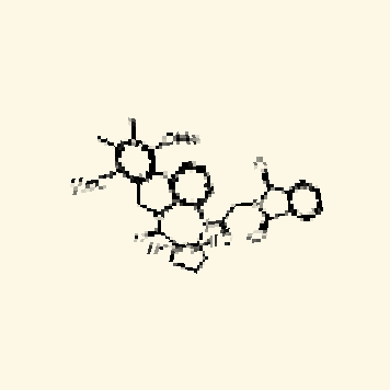 COc1c(C)c(C)c(OC)c(CN2C(=O)[C@@H]3CCC[C@H]3N(C(=O)CN3C(=O)c4ccccc4C3=O)c3ccccc32)c1C